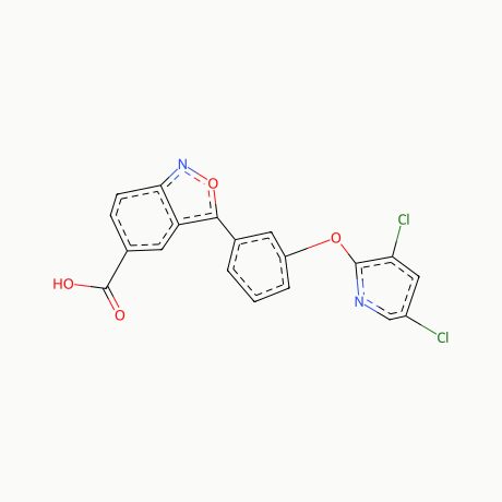 O=C(O)c1ccc2noc(-c3cccc(Oc4ncc(Cl)cc4Cl)c3)c2c1